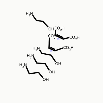 NCCO.NCCO.NCCO.NCCO.O=C(O)/C=C\C(=O)O.O=C(O)/C=C\C(=O)O